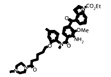 CCOC(=O)n1ccc2c(C(=O)c3ccc(C(=O)N(C)c4ccc(C)cc4OCCCCCC(=O)N4CCN(C)CC4)c(N)c3OC)cccc21